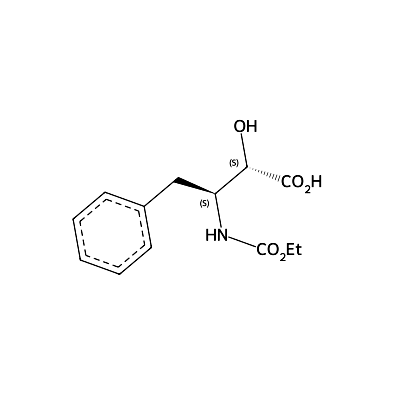 CCOC(=O)N[C@@H](Cc1ccccc1)[C@H](O)C(=O)O